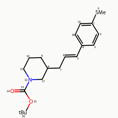 CSc1ccc(C=CCC2CCCN(C(=O)OC(C)(C)C)C2)cc1